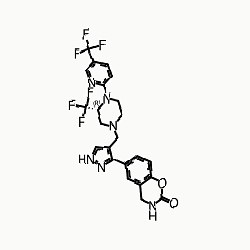 O=C1NCc2cc(-c3n[nH]cc3CN3CCN(c4ccc(C(F)(F)F)cn4)[C@@H](C(F)(F)F)C3)ccc2O1